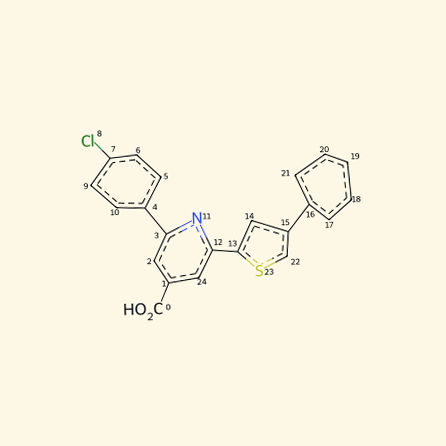 O=C(O)c1cc(-c2ccc(Cl)cc2)nc(-c2cc(-c3ccccc3)cs2)c1